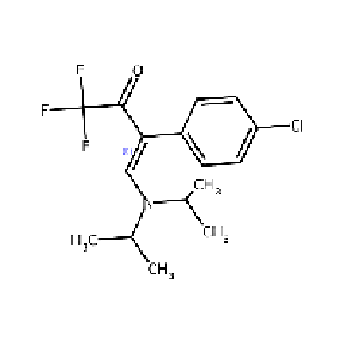 CC(C)N(/C=C(/C(=O)C(F)(F)F)c1ccc(Cl)cc1)C(C)C